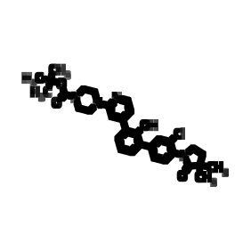 CC(C)(C)OC(=O)N1CCN(c2cc(-c3cccc(-c4ccc(N5CCC(C)(C)C5=O)c(Cl)c4)c3O)ccn2)CC1